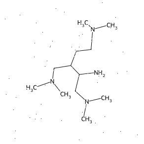 CN(C)CCC(CN(C)C)C(N)CN(C)C